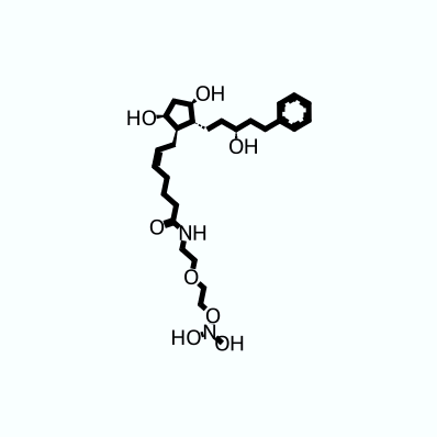 O=C(CCC/C=C\C[C@@H]1[C@@H](CC[C@@H](O)CCc2ccccc2)[C@H](O)C[C@@H]1O)NCCOCCON(O)O